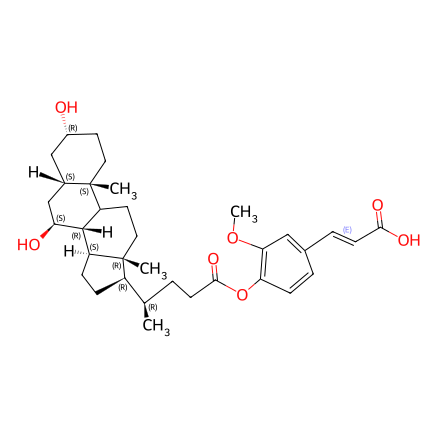 COc1cc(/C=C/C(=O)O)ccc1OC(=O)CC[C@@H](C)[C@H]1CC[C@H]2[C@H]3C(CC[C@]12C)[C@@]1(C)CC[C@@H](O)C[C@H]1C[C@@H]3O